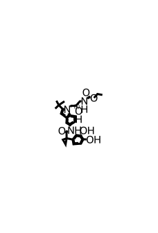 CCOC(=O)NC[C@H](O)Cn1c(C(C)(C)C)cc2cc(NC(=O)C3(c4ccc(O)c(O)c4)CC3)ccc21